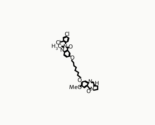 COc1cc2c(cc1OCCCCCCCCOc1ccc3nc(C)n(-c4ccc(Cl)cc4Cl)c(=O)c3c1)N=C[C@@H]1CCCN1C2=O